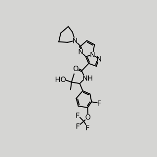 CC(C)(O)C(NC(=O)c1cnn2ccc(N3CCCCC3)nc12)c1ccc(OC(F)(F)F)c(F)c1